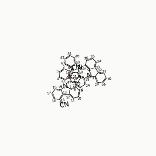 N#Cc1cccc(-n2c3ccccc3c3c(C#N)cccc32)c1-c1cccc(-n2c3ccccc3c3cccc(-n4c5ccccc5c5ccccc54)c32)c1